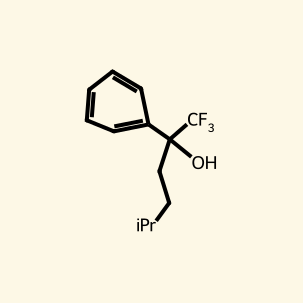 CC(C)CCC(O)(c1ccccc1)C(F)(F)F